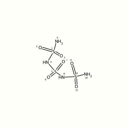 NS(=O)(=O)NS(=O)(=O)NS(N)(=O)=O